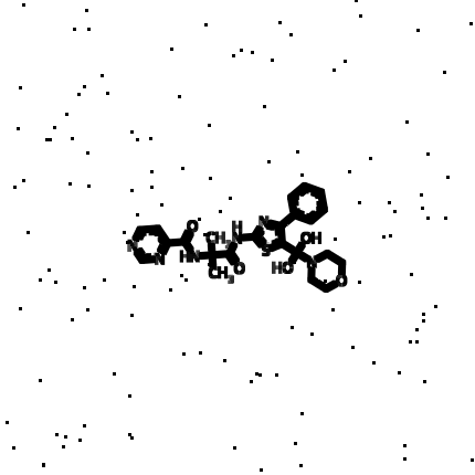 CC(C)(NC(=O)c1ccncn1)C(=O)Nc1nc(-c2ccccc2)c(C(O)(O)N2CCOCC2)s1